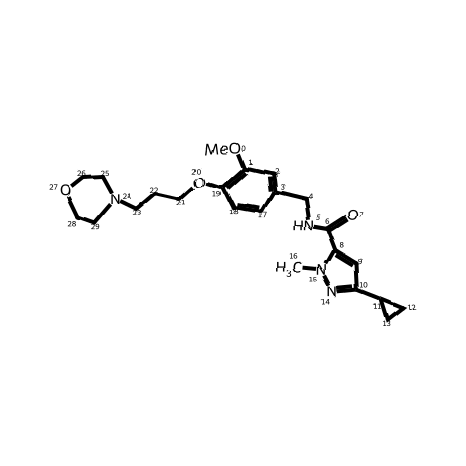 COc1cc(CNC(=O)c2cc(C3CC3)nn2C)ccc1OCCCN1CCOCC1